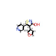 Oc1nsc(-c2ccncc2)c1-c1ccoc1